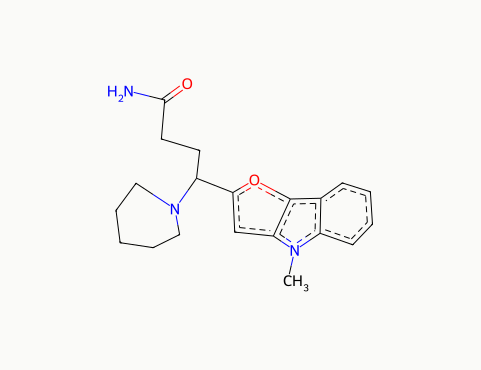 Cn1c2ccccc2c2oc(C(CCC(N)=O)N3CCCCC3)cc21